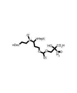 CCCCCCCCCCCC[S+]([O-])C(CCCCCCC)CCOC(CC)OCC(O)([PH2]=O)C(=O)O